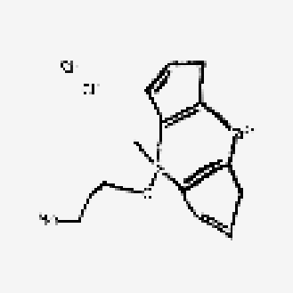 C[Si]1(OCCO)C2=[C](CC=C2)[Zr+2][C]2=C1C=CC2.[Cl-].[Cl-]